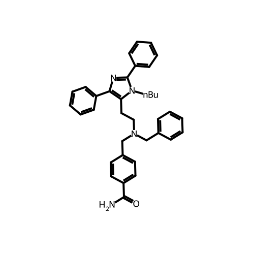 CCCCn1c(-c2ccccc2)nc(-c2ccccc2)c1CCN(Cc1ccccc1)Cc1ccc(C(N)=O)cc1